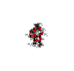 Cc1cn([C@@H]2O[C@@]3(COP(=O)(S)OC4[C@@H]5O[C@@H](C)[C@@]4(COP(=O)(S)OC4[C@@H]6O[C@@H](C)[C@@]4(CO)O[C@H]6n4cnc6c(=O)[nH]c(N)nc64)O[C@H]5n4cnc5c(N)ncnc54)C(OP(=O)(S)OC[C@H]4O[C@@H](n5cc(C)c(=O)[nH]c5=O)CC4OP(=O)(S)OC[C@H]4O[C@@H](n5cc(C)c(=O)[nH]c5=O)CC4OP(=O)(S)OC[C@H]4O[C@@H](n5cc(C)c(=O)[nH]c5=O)CC4OP(=O)(O)S)[C@@H]2O[C@H]3C)c(=O)[nH]c1=O